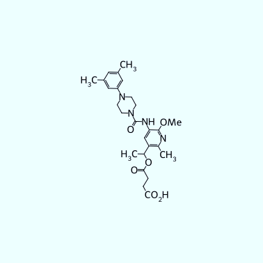 COc1nc(C)c(C(C)OC(=O)CCC(=O)O)cc1NC(=O)N1CCN(c2cc(C)cc(C)c2)CC1